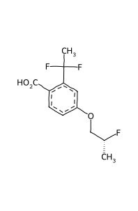 C[C@@H](F)COc1ccc(C(=O)O)c(C(C)(F)F)c1